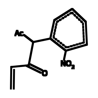 C=CC(=O)C(C(C)=O)c1ccccc1[N+](=O)[O-]